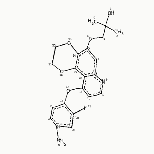 CC(C)(O)COc1cc2nccc(Oc3ccc(N)cc3F)c2c2c1OCCO2